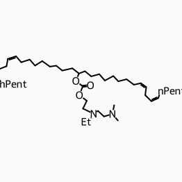 CCCCC/C=C\C/C=C\CCCCCCCCC(CCCCCCCC/C=C\C/C=C\CCCCC)OC(=O)OCCN(CC)CCN(C)C